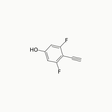 C#Cc1c(F)cc(O)cc1F